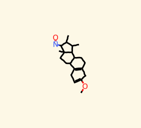 COC1=CCC2=C(CCC3C2CCC2(C)C(N=O)C(C)C(C)C32)C1